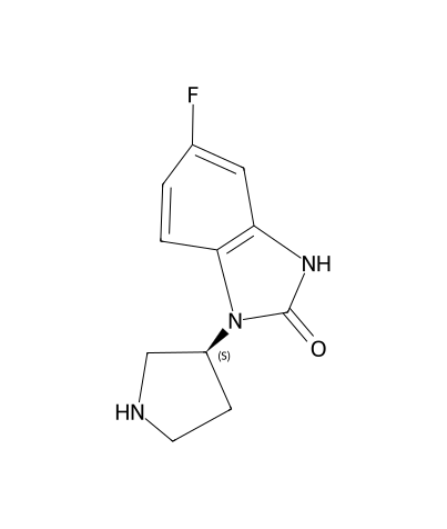 O=c1[nH]c2cc(F)ccc2n1[C@H]1CCNC1